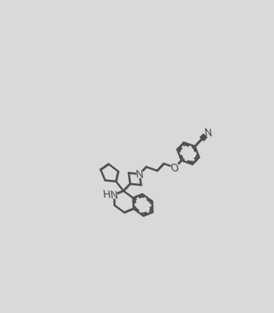 N#Cc1ccc(OCCCN2CC(C3(C4CCCC4)NCCc4ccccc43)C2)cc1